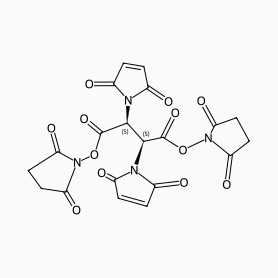 O=C(ON1C(=O)CCC1=O)[C@H]([C@@H](C(=O)ON1C(=O)CCC1=O)N1C(=O)C=CC1=O)N1C(=O)C=CC1=O